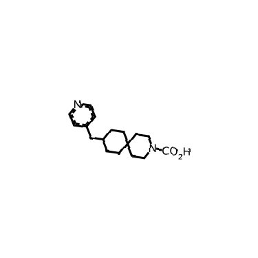 O=C(O)N1CCC2(CCC(Cc3ccncc3)CC2)CC1